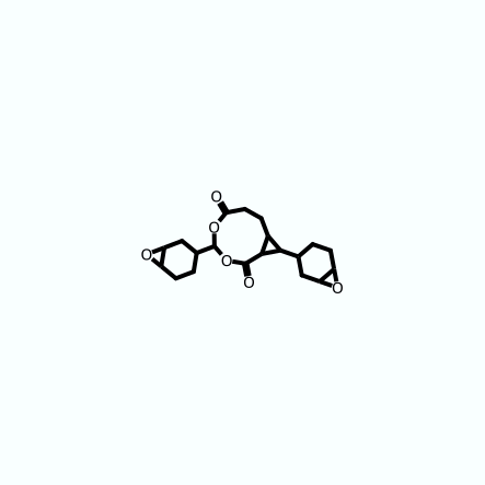 O=C1CCC2C(C(=O)OC(C3CCC4OC4C3)O1)C2C1CCC2OC2C1